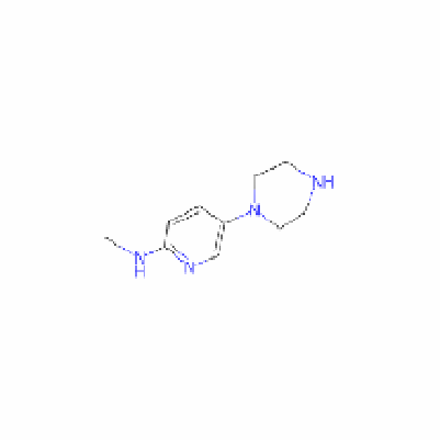 CNc1ccc(N2CCNCC2)cn1